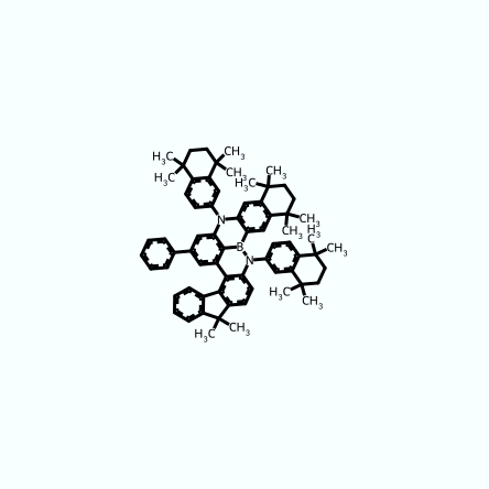 CC1(C)CCC(C)(C)c2cc(N3B4c5cc6c(cc5N(c5ccc7c(c5)C(C)(C)CCC7(C)C)c5cc(-c7ccccc7)cc(c54)-c4c3ccc3c4-c4ccccc4C3(C)C)C(C)(C)CCC6(C)C)ccc21